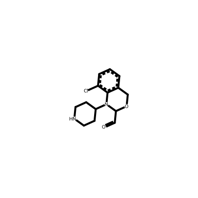 O=CC1OCc2cccc(Cl)c2N1C1CCNCC1